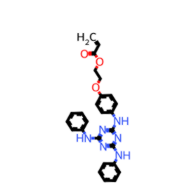 C=CC(=O)OCCOc1ccc(Nc2nc(Nc3ccccc3)nc(Nc3ccccc3)n2)cc1